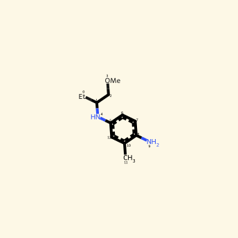 CCC(COC)Nc1ccc(N)c(C)c1